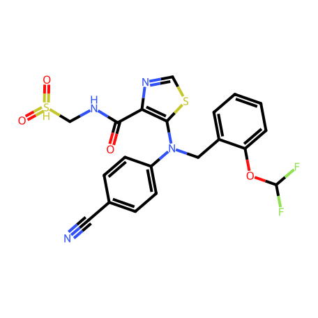 N#Cc1ccc(N(Cc2ccccc2OC(F)F)c2scnc2C(=O)NC[SH](=O)=O)cc1